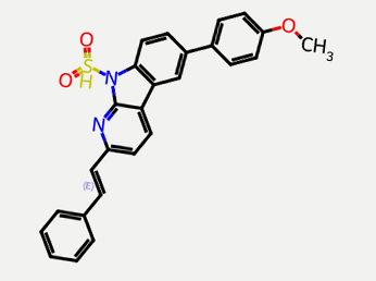 COc1ccc(-c2ccc3c(c2)c2ccc(/C=C/c4ccccc4)nc2n3[SH](=O)=O)cc1